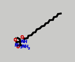 [CH2]CC(NC(=O)CCCCCCCCCCCCCCCCC)(C(N)=O)C(N)=O